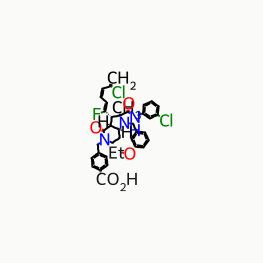 C=C(Cl)/C=C\C=C(/F)[C@H]1[C@@H]2C(=O)N(Cc3ccc(C(=O)O)cc3)CC[C@@H]2N(Cc2cccc(OCC)c2)[C@@]1(C)C(=O)Nc1cccc(Cl)c1